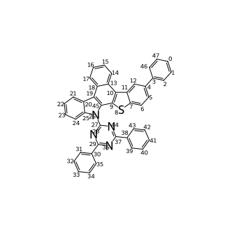 c1ccc(-c2ccc3sc4c(c3c2)c2ccccc2c2c3ccccc3n(-c3nc(-c5ccccc5)nc(-c5ccccc5)n3)c42)cc1